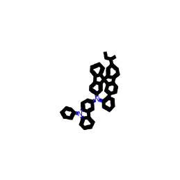 CCC(C)c1ccc2c(c1)C1(c3ccccc3-c3ccc(N(c4ccccc4)c4ccc5c(c4)c4ccccc4n5-c4ccccc4)cc31)c1cc(C)ccc1-2